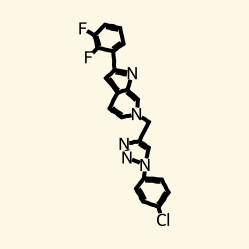 Fc1cccc(-c2cc3ccn(Cc4cn(-c5ccc(Cl)cc5)nn4)cc-3n2)c1F